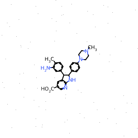 Cc1ccc(C2c3cc(C(=O)O)cnc3NC2c2ccc(N3CCN(C)CC3)cc2)cc1N